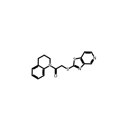 O=C(CSc1nc2cnccc2s1)N1CCCc2ccccc21